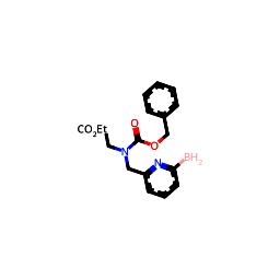 Bc1cccc(CN(CC(=O)OCC)C(=O)OCc2ccccc2)n1